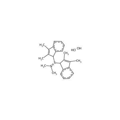 CC1=C(C)[CH]([Ti]([CH]2C(C)=C(C)c3ccccc32)=[Si](C)C)c2ccccc21.Cl.Cl